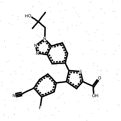 CC(C)(O)Cn1nnc2cc(-c3sc(C(=O)O)cc3-c3ccc(C#N)c(F)c3)ccc21